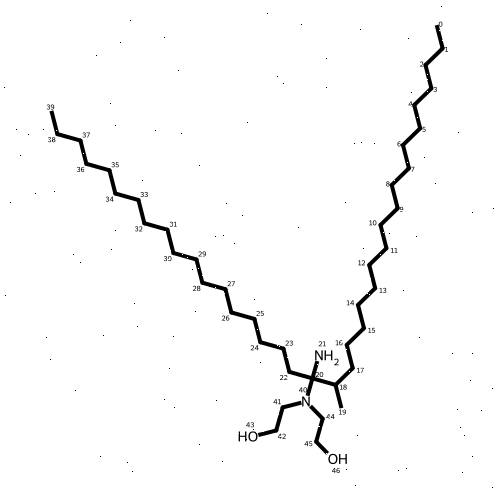 CCCCCCCCCCCCCCCCCCC(C)C(N)(CCCCCCCCCCCCCCCCCC)N(CCO)CCO